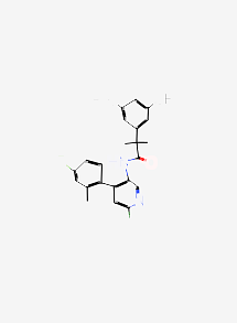 Cc1cc(F)ccc1-c1cc(Cl)ncc1NC(=O)C(C)(C)c1cc(C(F)(F)F)cc(C(F)(F)F)c1